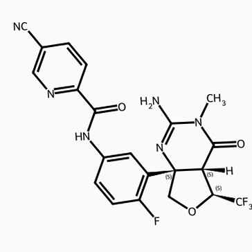 CN1C(=O)[C@@H]2[C@@H](C(F)(F)F)OC[C@]2(c2cc(NC(=O)c3ccc(C#N)cn3)ccc2F)N=C1N